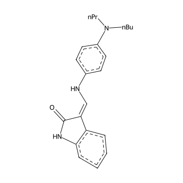 CCCCN(CCC)c1ccc(NC=C2C(=O)Nc3ccccc32)cc1